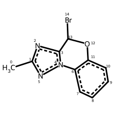 Cc1nc2n(n1)-c1ccccc1OC2Br